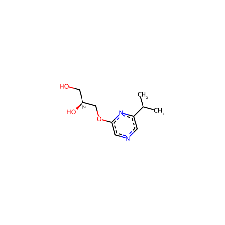 CC(C)c1cncc(OC[C@@H](O)CO)n1